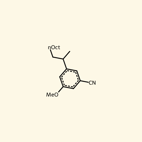 CCCCCCCCCC(C)c1cc(C#N)cc(OC)c1